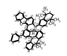 CC1(C)CCC(C)(C)c2cc(Nc3ccc4c(oc5ccccc54)c3-c3cc(-c4ccccc4)cc4c3Bc3cccc5c3N4c3ccccc3C5(C)C)ccc21